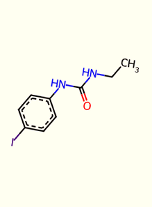 CCNC(=O)Nc1ccc(I)cc1